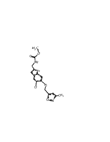 COC(=O)NCc1cc2cc(Cl)c(OCc3cc(C)no3)cc2[nH]1